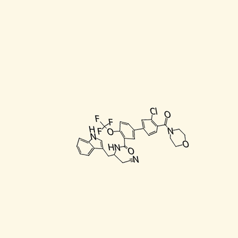 N#CCC(Cc1c[nH]c2ccccc12)NC(=O)c1cc(-c2ccc(C(=O)N3CCOCC3)c(Cl)c2)ccc1OC(F)(F)F